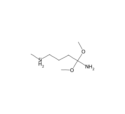 COC(N)(CCC[SiH2]C)OC